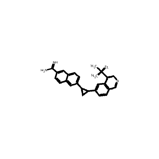 CCC(C)(C)C1CN=Cc2ccc(C3CC3c3ccc4cc(C(=N)N)ccc4c3)cc21